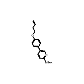 C=CCCOc1ccc(-c2ccc(CCCCCC)nc2)cc1